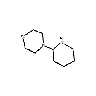 C1CCC(N2CC[N]CC2)NC1